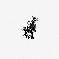 CC(=O)SCC(CSC(C)=O)C(=O)Nc1cc2c(Nc3ccc(OCc4cccc(F)c4)c(Cl)c3)c(C#N)cnc2cc1OC[C@@H](O)CO